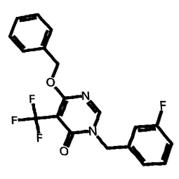 O=c1c(C(F)(F)F)c(OCc2ccccc2)ncn1Cc1cccc(F)c1